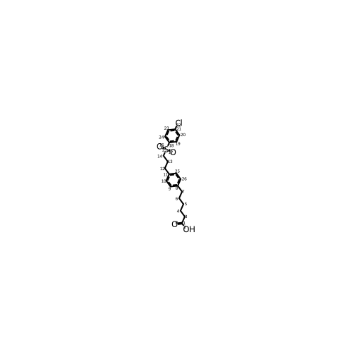 O=C(O)CCCCCc1ccc(CCCS(=O)(=O)c2ccc(Cl)cc2)cc1